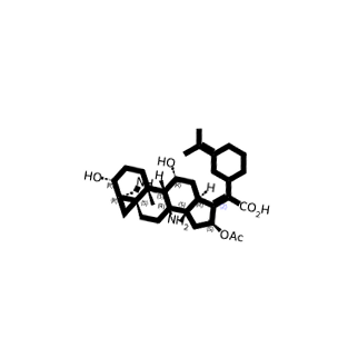 CC(=O)O[C@H]1C[C@@]2(C)[C@@H](C[C@@H](O)[C@@H]3[C@]2(N)CC[C@@]24C[C@@]2(CN)[C@H](O)CC[C@]34C)/C1=C(/C(=O)O)C1CCCC(=C(C)C)C1